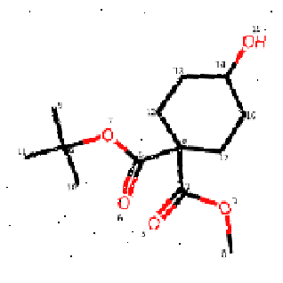 COC(=O)C1(C(=O)OC(C)(C)C)CCC(O)CC1